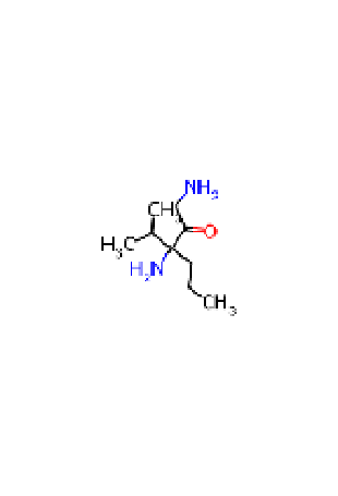 CCCC(N)(C(=O)CN)C(C)C